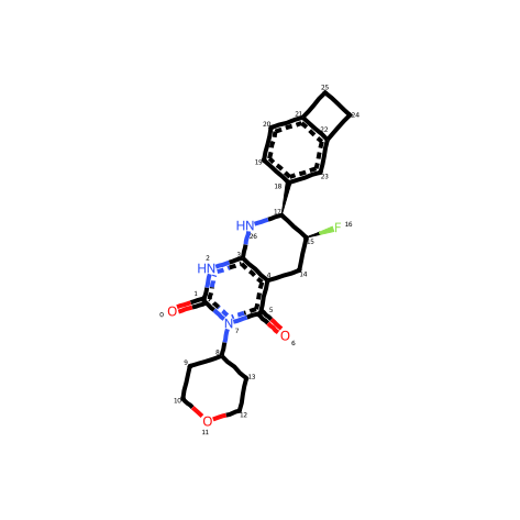 O=c1[nH]c2c(c(=O)n1C1CCOCC1)C[C@H](F)[C@H](c1ccc3c(c1)CC3)N2